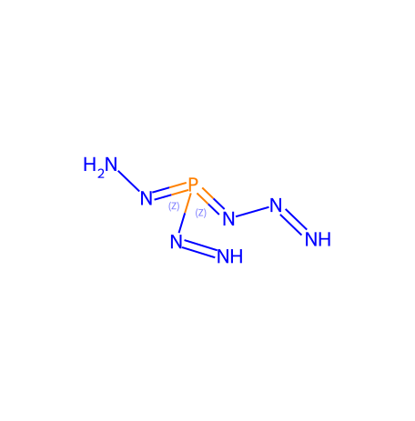 N=N/N=P(\N=N)=N\N